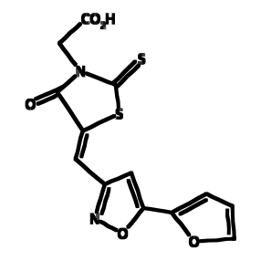 O=C(O)CN1C(=O)C(=Cc2cc(-c3ccco3)on2)SC1=S